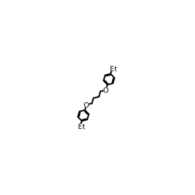 CCc1ccc(OCCCCOc2ccc(CC)cc2)cc1